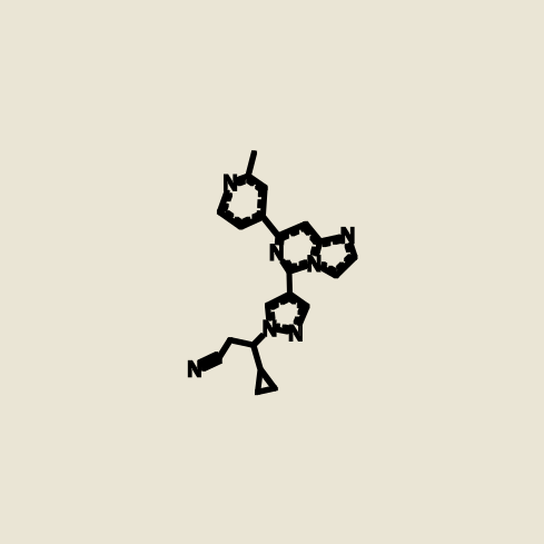 Cc1cc(-c2cc3nccn3c(-c3cnn(C(CC#N)C4CC4)c3)n2)ccn1